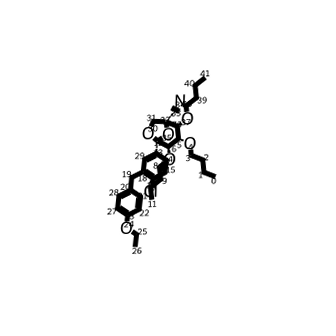 CCCCO[C@@H]1[C@@H](OCCCC)[C@@]2(c3ccc(Cl)c(Cc4ccc(OCC)cc4)c3)OC[C@](C#N)(O2)[C@H]1OCCCC